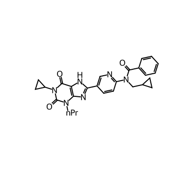 CCCn1c(=O)n(C2CC2)c(=O)c2[nH]c(-c3ccc(N(CC4CC4)C(=O)c4ccccc4)nc3)nc21